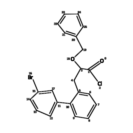 O=C(Cl)C(Cc1ccccc1-c1cccc(Br)c1)OCc1ccccc1